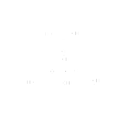 CC(C)=O.CCOC(C)(C)OCC